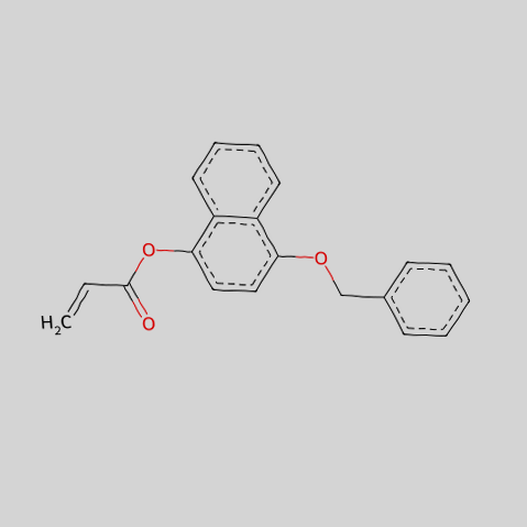 C=CC(=O)Oc1ccc(OCc2ccccc2)c2ccccc12